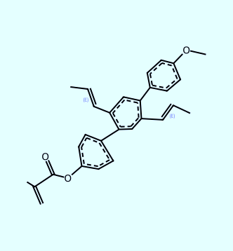 C=C(C)C(=O)Oc1ccc(-c2cc(/C=C/C)c(-c3ccc(OC)cc3)cc2/C=C/C)cc1